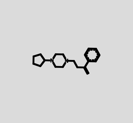 C=C(CCN1CCN(C2CCCC2)CC1)c1ccccc1